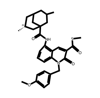 COc1ccc(Cn2c(=O)c(C(=O)SC)cc3c(NC(=O)C45CC(C)CC(C[C@@H](C)C4)C5)cccc32)cc1